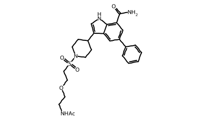 CC(=O)NCCOCCS(=O)(=O)N1CCC(c2c[nH]c3c(C(N)=O)cc(-c4ccccc4)cc23)CC1